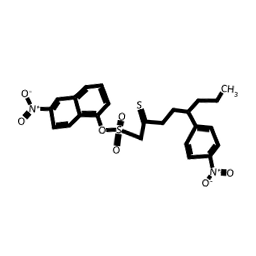 CCCC(CCC(=S)CS(=O)(=O)Oc1cccc2cc([N+](=O)[O-])ccc12)c1ccc([N+](=O)[O-])cc1